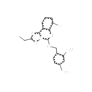 COc1ccc(CNc2nc3c(Br)cccc3c3nc(CCl)nn23)c(OC)c1